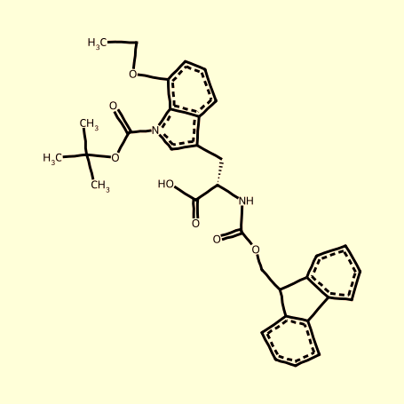 CCOc1cccc2c(C[C@H](NC(=O)OCC3c4ccccc4-c4ccccc43)C(=O)O)cn(C(=O)OC(C)(C)C)c12